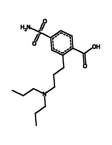 CCCN(CCC)CCCc1cc(S(N)(=O)=O)ccc1C(=O)O